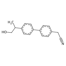 CC(CO)c1ccc(-c2ccc(CC#N)cc2)cc1